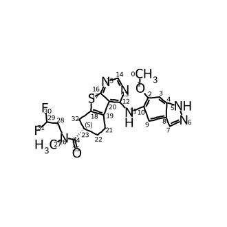 COc1cc2[nH]ncc2cc1Nc1ncnc2sc3c(c12)CC[C@H](C(=O)N(C)CC(F)F)C3